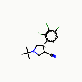 CC(C)(C)N1CC(C#N)[C@H](c2ccc(F)c(F)c2F)C1